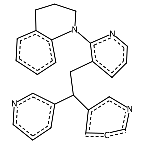 c1cncc(C(Cc2cccnc2N2CCCc3ccccc32)c2cccnc2)c1